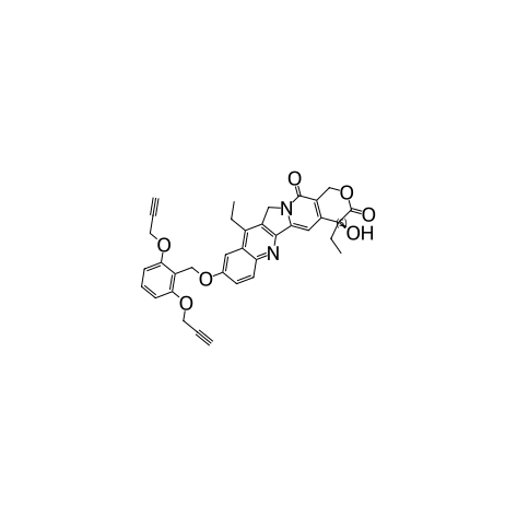 C#CCOc1cccc(OCC#C)c1COc1ccc2nc3c(c(CC)c2c1)Cn1c-3cc2c(c1=O)COC(=O)[C@]2(O)CC